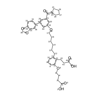 O=C(O)CCCOc1cccc(CCCCCCOc2cc(C(=O)N3CCCC3)cc(-c3ccc4c(c3)OCO4)c2)c1CCC(=O)O